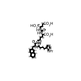 CCCn1nncc1CCCC(=O)NC(Cc1ccc2ccccc2c1)C(=O)NCCCCC(NC(=O)NC(CCC(=O)O)C(=O)O)C(=O)O